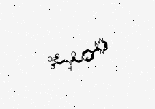 O=C(C[n+]1ccc(-c2nccnn2)cc1)NCCS(=O)(=O)[O-]